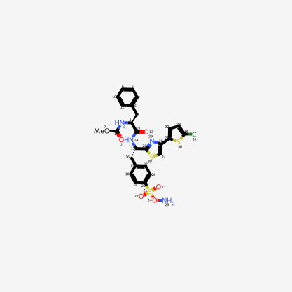 COC(=O)N[C@@H](Cc1ccccc1)C(=O)N[C@@H](Cc1ccc(S(=O)(=O)ON)cc1)c1nc(-c2ccc(Cl)s2)cs1